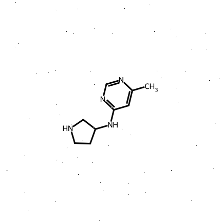 Cc1cc(NC2CCNC2)ncn1